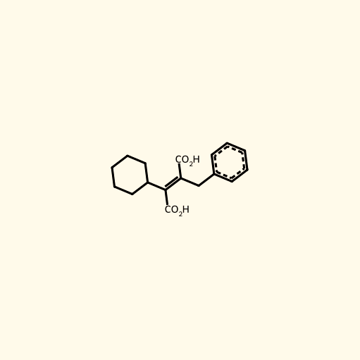 O=C(O)/C(Cc1ccccc1)=C(/C(=O)O)C1CCCCC1